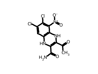 CC(=O)C1=C(C(N)=O)Nc2cc(Cl)c(Cl)c([N+](=O)[O-])c2N1